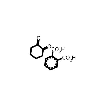 O=C(O)c1ccccc1C(=O)O.O=C1CCCCC1=O